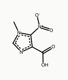 Cn1cnc(C(=O)O)c1[N+](=O)[O-]